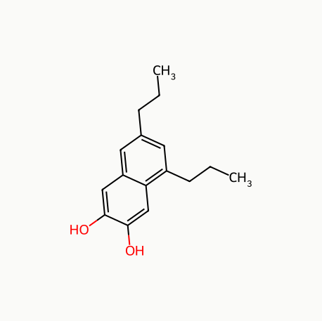 CCCc1cc(CCC)c2cc(O)c(O)cc2c1